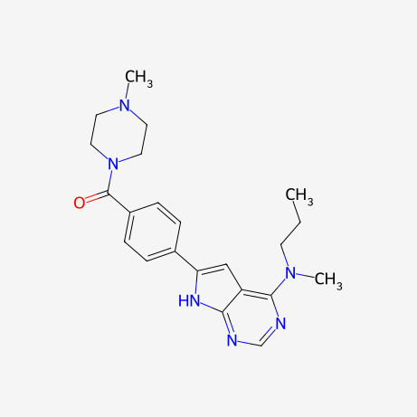 CCCN(C)c1ncnc2[nH]c(-c3ccc(C(=O)N4CCN(C)CC4)cc3)cc12